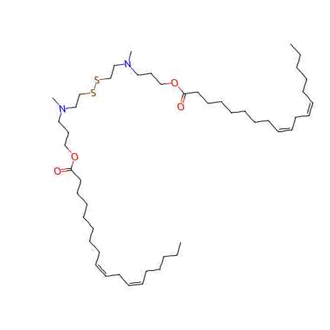 CCCCC/C=C\C/C=C\CCCCCCCC(=O)OCCCN(C)CCSSCCN(C)CCCOC(=O)CCCCCCC/C=C\C/C=C\CCCCC